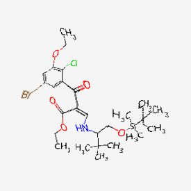 CCOC(=O)/C(=C\NC(CO[Si](C)(C)C(C)(C)C)C(C)(C)C)C(=O)c1cc(Br)cc(OCC)c1Cl